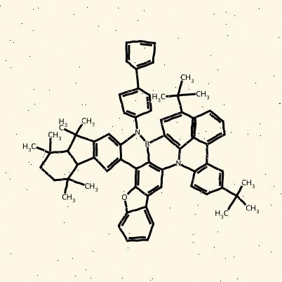 CC(C)(C)c1ccc2c(c1)B1c3c(cc4c(oc5ccccc54)c3-c3cc4c(cc3N1c1ccc(-c3ccccc3)cc1)C(C)(C)C1C4C(C)(C)CCC1(C)C)N2c1ccc(C(C)(C)C)cc1-c1ccccc1